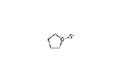 [S-][O+]1CCCC1